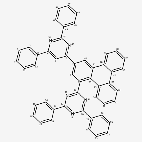 c1ccc(-c2cc(-c3cc(-c4nc(-c5ccccc5)nc(-c5ccccc5)n4)c4c5ccccc5c5ccccc5c4c3)nc(-c3ccccc3)n2)cc1